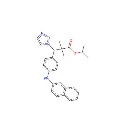 CC(C)OC(=O)C(C)(C)C(c1ccc(Nc2ccc3ccccc3c2)cc1)n1ccnc1